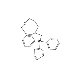 c1ccc([PH](CC2CCCCCCC2)(c2ccccc2)c2ccccc2)cc1